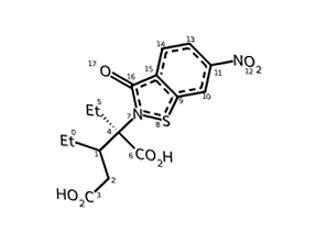 CCC(CC(=O)O)[C@](CC)(C(=O)O)n1sc2cc([N+](=O)[O-])ccc2c1=O